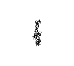 Cc1ccc2c(C3(NC(=O)c4cc(N5CCN(C(=O)OC(C)(C)C)CC5)ccc4C)CC3)cc(OS(=O)(=O)C(F)(F)F)cc2n1